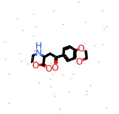 O=C(CC1NCCOC1=O)c1ccc2c(c1)OCCO2